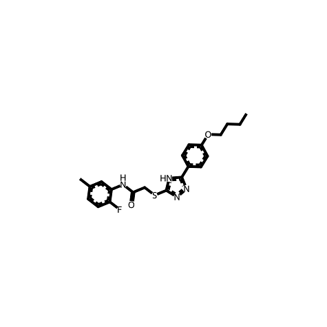 CCCCOc1ccc(-c2nnc(SCC(=O)Nc3cc(C)ccc3F)[nH]2)cc1